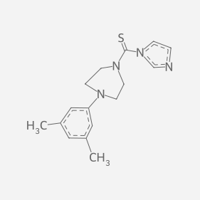 Cc1cc(C)cc(N2CCN(C(=S)n3ccnc3)CC2)c1